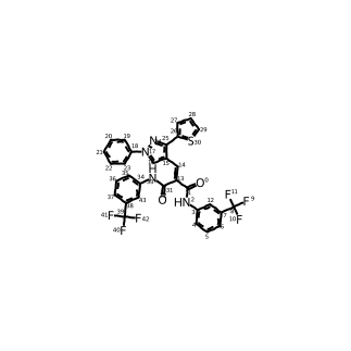 O=C(Nc1cccc(C(F)(F)F)c1)C(=Cc1cn(-c2ccccc2)nc1-c1cccs1)C(=O)Nc1cccc(C(F)(F)F)c1